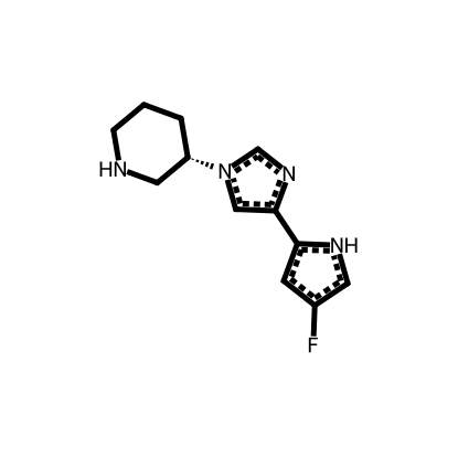 Fc1c[nH]c(-c2cn([C@H]3CCCNC3)cn2)c1